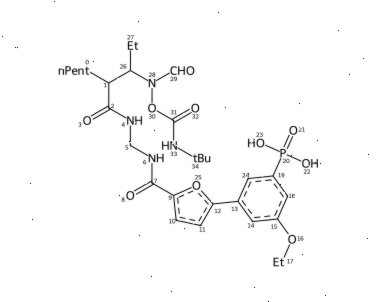 CCCCCC(C(=O)NCNC(=O)c1ccc(-c2cc(OCC)cc(P(=O)(O)O)c2)o1)C(CC)N(C=O)OC(=O)NC(C)(C)C